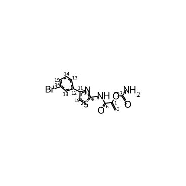 C=C(OC(N)=O)C(=O)Nc1nc(-c2cccc(Br)c2)cs1